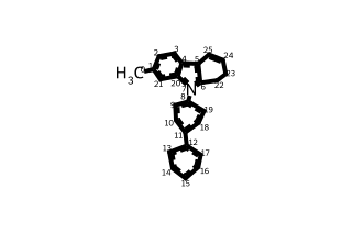 Cc1ccc2c3c(n(-c4ccc(-c5ccccc5)cc4)c2c1)CCC=C3